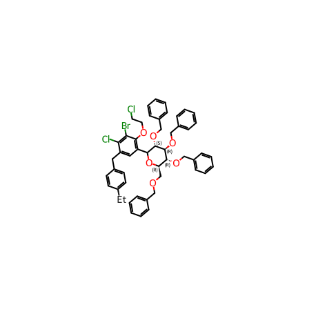 CCc1ccc(Cc2cc(C3O[C@H](COCc4ccccc4)[C@@H](OCc4ccccc4)[C@H](OCc4ccccc4)[C@H]3OCc3ccccc3)c(OCCCl)c(Br)c2Cl)cc1